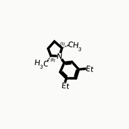 CCc1cc(CC)cc(N2[C@H](C)CC[C@@H]2C)c1